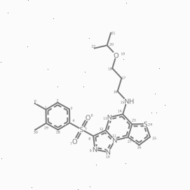 Cc1ccc(S(=O)(=O)c2nnn3c2nc(NCCCOC(C)C)c2sccc23)cc1C